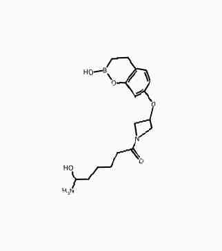 NC(O)CCCCC(=O)N1CC(Oc2ccc3c(c2)OB(O)CC3)C1